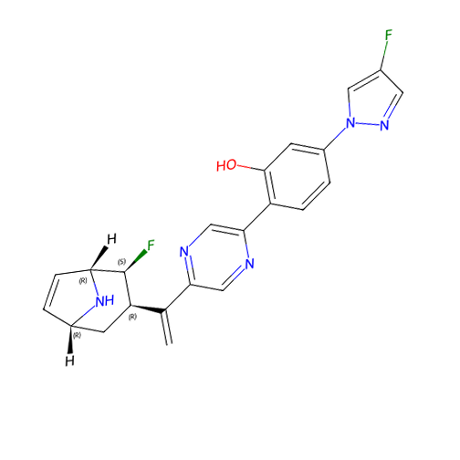 C=C(c1cnc(-c2ccc(-n3cc(F)cn3)cc2O)cn1)[C@H]1C[C@@H]2C=C[C@@H](N2)[C@H]1F